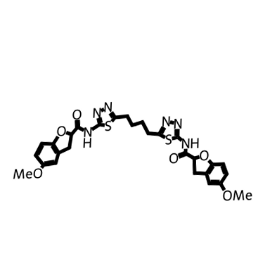 COc1ccc2c(c1)CC(C(=O)Nc1nnc(CCCCc3nnc(NC(=O)C4Cc5cc(OC)ccc5O4)s3)s1)O2